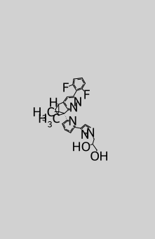 CC1(C)[C@H]2CC[C@]1(c1cccc(-c3ccn(CC(O)CO)n3)n1)c1nnc(-c3c(F)cccc3F)cc12